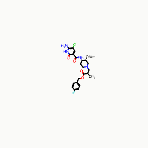 CO[C@@H]1CN(CC(C)C(=O)OCc2ccc(F)cc2)CC[C@@H]1NC(=O)c1cc(Cl)c(N)[nH]c1=O